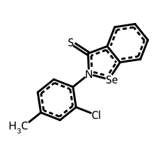 Cc1ccc(-n2[se]c3ccccc3c2=S)c(Cl)c1